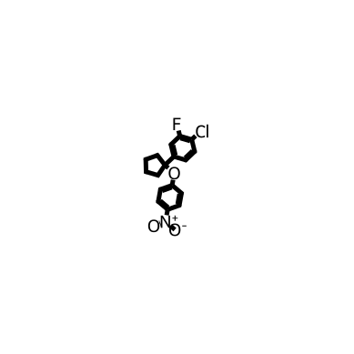 O=[N+]([O-])c1ccc(OC2(c3ccc(Cl)c(F)c3)CCCC2)cc1